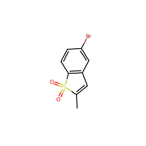 CC1=Cc2cc(Br)ccc2S1(=O)=O